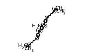 C=C(C)C(=O)OCCCCCCOc1ccc(C(=O)Oc2ccc(OC(=O)c3ccc(OCCCCCCOC(=O)C(=C)C)cc3)c(C)c2)cc1